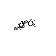 CCc1cnc(OC2CCC(C)CC2)nc1